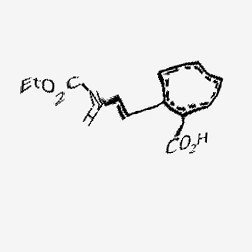 CCOC(=O)NC=Cc1ccccc1C(=O)O